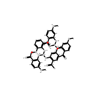 COc1ccc(C(C)=O)c(OP(OCc2cccc(OC)c2OP(Oc2cc(OC)ccc2C(C)=O)Oc2cc(OC)ccc2C(C)=O)Oc2cc(OC)ccc2C(C)=O)c1